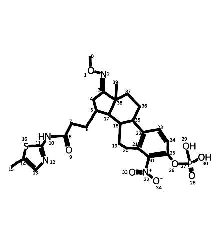 CON=C1CC(CCC(=O)Nc2ncc(C)s2)C2C3CCc4c(ccc(OP(=O)(O)O)c4[N+](=O)[O-])C3CCC12C